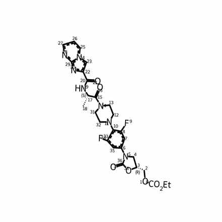 CCOC(=O)OC[C@H]1CN(c2cc(F)c(N3CCN(C(=O)[C@H](C)NC(=O)c4cn5cccnc5n4)CC3)c(F)c2)C(=O)O1